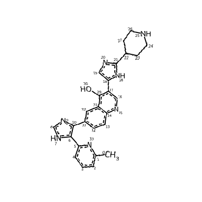 Cc1cccc(-c2[nH]cnc2-c2ccc3ncc(-c4cnc(C5CCNCC5)[nH]4)c(O)c3c2)n1